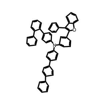 c1ccc(-c2ccc(-c3ccc(N(c4ccc(-c5ccccc5-c5ccccc5)cc4)c4cccc(-c5oc6ccccc6c5-c5ccccc5)c4)cc3)cc2)cc1